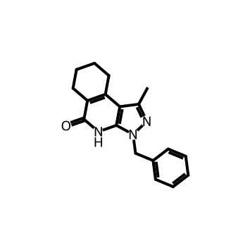 Cc1nn(Cc2ccccc2)c2[nH]c(=O)c3c(c12)CCCC3